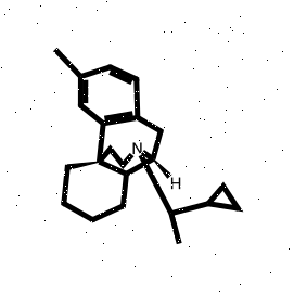 Cc1ccc2c(c1)[C@@]13CCCCC1[C@@H](C2)N(C(C)C1CC1)CC3